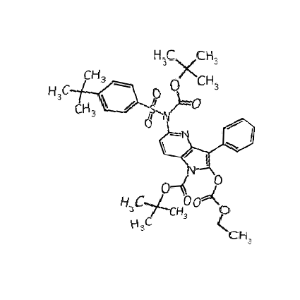 CCOC(=O)Oc1c(-c2ccccc2)c2nc(N(C(=O)OC(C)(C)C)S(=O)(=O)c3ccc(C(C)(C)C)cc3)ccc2n1C(=O)OC(C)(C)C